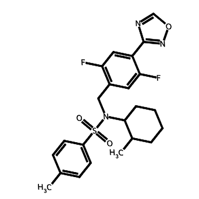 Cc1ccc(S(=O)(=O)N(Cc2cc(F)c(-c3ncon3)cc2F)C2CCCCC2C)cc1